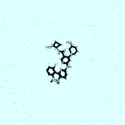 COc1cccc(F)c1-c1nc(Nc2cc(N3CCC[C@H](O)C3)c(C(=O)N[C@@H]3CC[C@H]3O)cn2)ccc1[N+](=O)[O-]